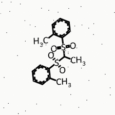 Cc1ccccc1S(=O)(=O)C(C)S(=O)(=O)c1ccccc1C